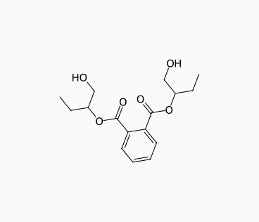 CCC(CO)OC(=O)c1ccccc1C(=O)OC(CC)CO